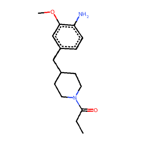 CCC(=O)N1CCC(Cc2ccc(N)c(OC)c2)CC1